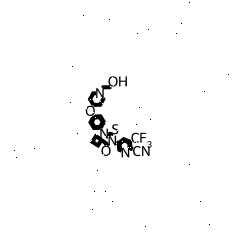 N#Cc1ncc(N2C(=O)C3(CCC3)N(c3ccc(OC4CCN(CCO)CC4)cc3)C2=S)cc1C(F)(F)F